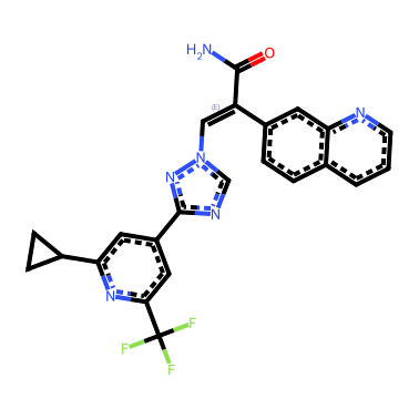 NC(=O)/C(=C/n1cnc(-c2cc(C3CC3)nc(C(F)(F)F)c2)n1)c1ccc2cccnc2c1